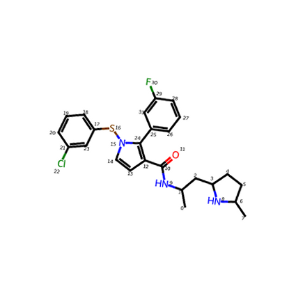 CC(CC1CCC(C)N1)NC(=O)c1ccn(Sc2cccc(Cl)c2)c1-c1cccc(F)c1